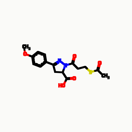 COc1ccc(C2=NN(C(=O)CCSC(C)=O)C(C(=O)O)C2)cc1